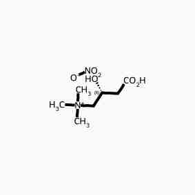 C[N+](C)(C)C[C@H](O)CC(=O)O.O=[N+]([O-])[O-]